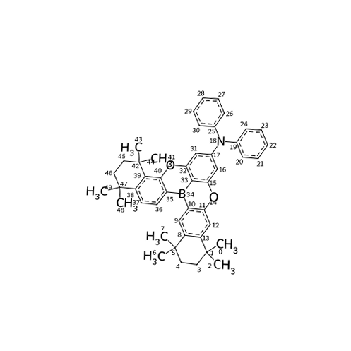 CC1(C)CCC(C)(C)c2cc3c(cc21)Oc1cc(N(c2ccccc2)c2ccccc2)cc2c1B3c1ccc3c(c1O2)C(C)(C)CCC3(C)C